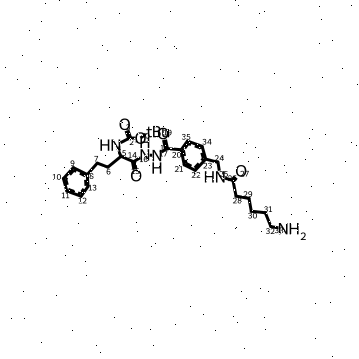 CC(C)(C)OC(=O)NC(CCc1ccccc1)C(=O)NNC(=O)c1ccc(CNC(=O)CCCCCN)cc1